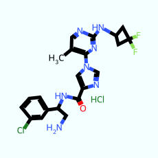 Cc1cnc(NC2CC(F)(F)C2)nc1-n1cnc(C(=O)NC(CN)c2cccc(Cl)c2)c1.Cl